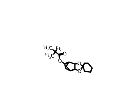 CCC(C)(C)C(=O)OC1CC2CC1C1OC3(CCCCC3)OC21